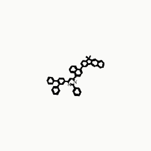 CC1(C)c2ccc(-c3ccc(-c4cc(-c5ccc(-c6ccccc6)c(-c6ccccc6)c5)nc(-c5ccccc5)n4)c4ccccc34)cc2-c2cc3ccccc3cc21